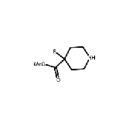 COC(=O)C1(F)CCNCC1